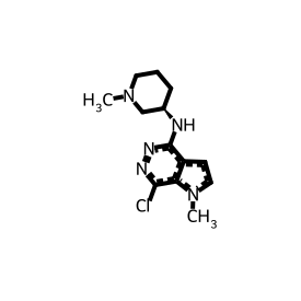 CN1CCC[C@@H](Nc2nnc(Cl)c3c2ccn3C)C1